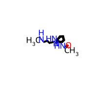 CNCCCc1nc2c(NC(C)=O)cccc2[nH]1